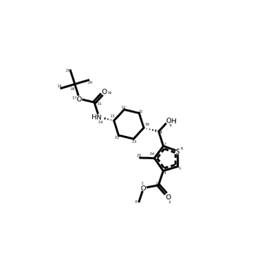 COC(=O)c1csc(C(O)[C@H]2CC[C@@H](NC(=O)OC(C)(C)C)CC2)c1C